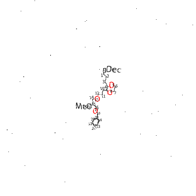 CCCCCCCCCCCCCC1OCCOC1CCCOCC(COCc1ccccc1)OC